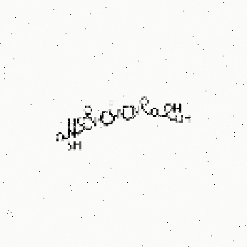 O=C(S)NCC1CN(c2ccc(N3CCN(C(=O)COCC(O)CO)CC3)c(F)c2)C(=O)O1